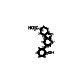 O=C(O)[C@@H]1CCc2sc3nnc(-c4ccccc4O)cc3c2C1